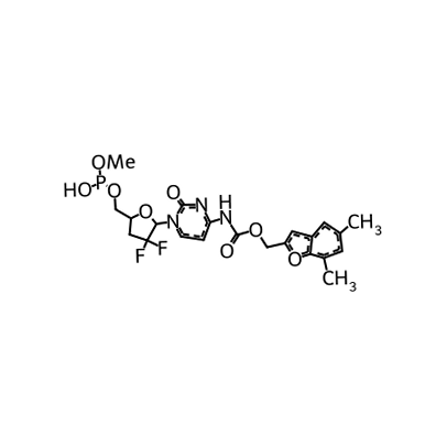 COP(O)OCC1CC(F)(F)C(n2ccc(NC(=O)OCc3cc4cc(C)cc(C)c4o3)nc2=O)O1